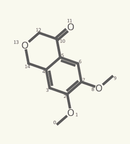 COc1cc2c(cc1OC)C(=O)COC2